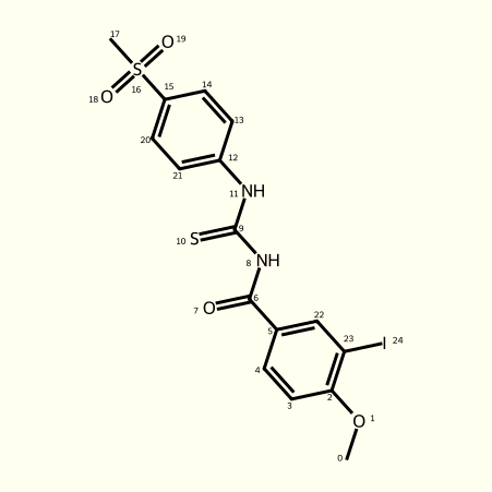 COc1ccc(C(=O)NC(=S)Nc2ccc(S(C)(=O)=O)cc2)cc1I